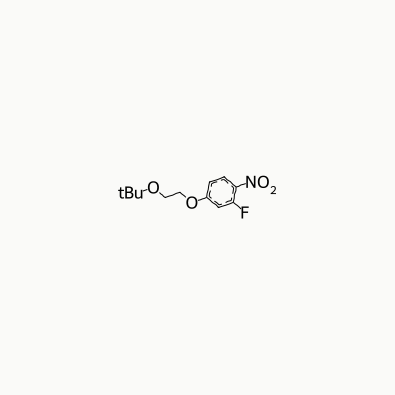 CC(C)(C)OCCOc1ccc([N+](=O)[O-])c(F)c1